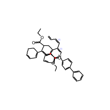 C=C/C=C\C(=C\N(c1ccccc1)c1ccc(-c2ccccc2)cc1)C1=C(C(=O)OCC)C=C(C2=CC=CCC2)C(C(=O)OCC)C1